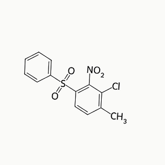 Cc1ccc(S(=O)(=O)c2ccccc2)c([N+](=O)[O-])c1Cl